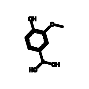 COc1cc(B(O)O)ccc1O